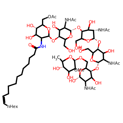 CCCCCC/C=C\CCCCCCCCCC(=O)NC1C(O)[C@H](O)C(COC(C)=O)O[C@H]1O[C@@H]1C(CO)O[C@@H](O[C@@H]2C(CO)O[C@@H](O[C@@H]3C(CO)O[C@@H](O[C@@H]4C(CO[C@@H]5OC(C)[C@@H](O)C(O)C5OC)O[C@@H](O)C(NC(C)=O)C4O)C(NC(C)=O)C3O)[C@@H](NC(C)=O)C2O)C(NC(C)=O)C1O